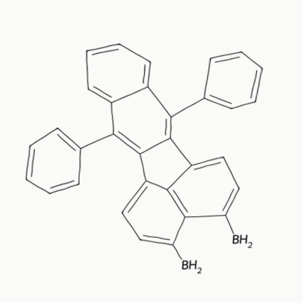 Bc1ccc2c3c(ccc(B)c13)-c1c-2c(-c2ccccc2)c2ccccc2c1-c1ccccc1